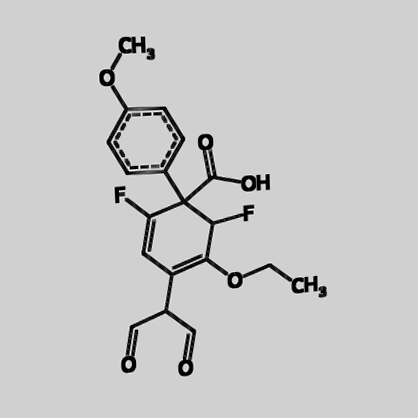 CCOC1=C(C(C=O)C=O)C=C(F)C(C(=O)O)(c2ccc(OC)cc2)C1F